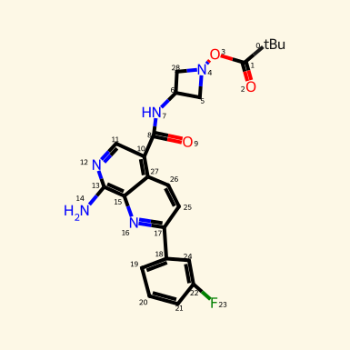 CC(C)(C)C(=O)ON1CC(NC(=O)c2cnc(N)c3nc(-c4cccc(F)c4)ccc23)C1